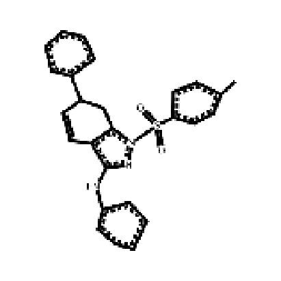 Cc1ccc(S(=O)(=O)n2nc(Nc3ccccc3)c3c2CC(c2ccccc2)C=C3)cc1